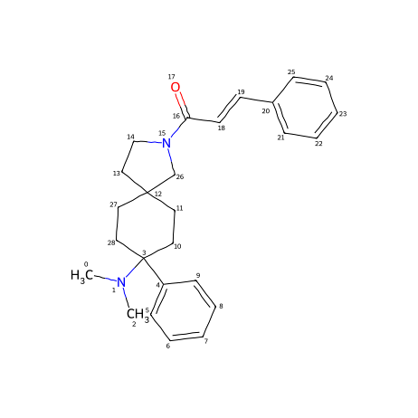 CN(C)C1(c2ccccc2)CCC2(CCN(C(=O)C=Cc3ccccc3)C2)CC1